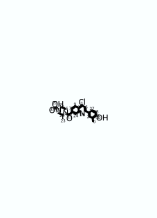 Cc1cc(-c2cc(Cl)c3ccc(C(=O)N4CCN(C(=O)O)C[C@@H]4C)cc3n2)ccc1O